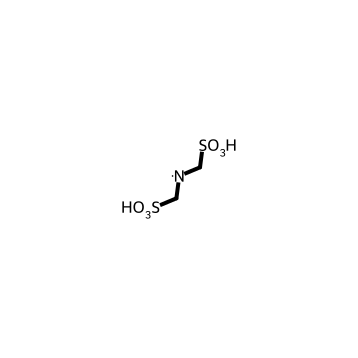 O=S(=O)(O)C[N]CS(=O)(=O)O